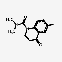 CN(C)C(=O)N1CCC(=O)c2cc(F)ccc21